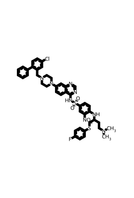 CN(C)CCC(CSc1ccc(F)cc1)Nc1ccc(S(=O)(=O)Nc2ncnc3cc(N4CCN(Cc5cc(Cl)ccc5-c5ccccc5)CC4)ccc23)cc1[N+](=O)[O-]